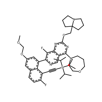 COCOc1cc(-c2ncc3c(N4CCCOCC4)nc(OCC45CCCN4CCC5)nc3c2F)c2c(C#C[Si](C(C)C)(C(C)C)C(C)C)c(F)ccc2c1